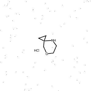 C1COCC2(CC2)N1.Cl